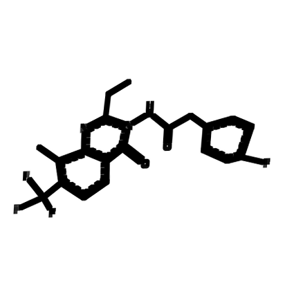 CCc1nc2c(C)c(C(F)(F)F)ccc2c(=O)n1NC(=O)Cc1ccc(F)cc1